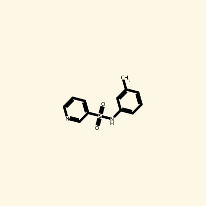 Cc1cccc(NS(=O)(=O)c2cccnc2)c1